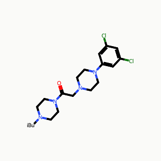 CCC(C)N1CCN(C(=O)CN2CCN(c3cc(Cl)cc(Cl)c3)CC2)CC1